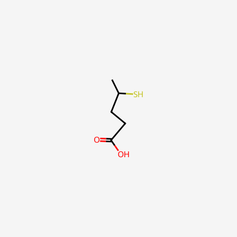 CC(S)CCC(=O)O